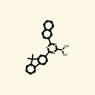 CC1(C)c2ccccc2-c2ccc(-c3nc(B(O)O)nc(-c4ccc5ccccc5c4)n3)cc21